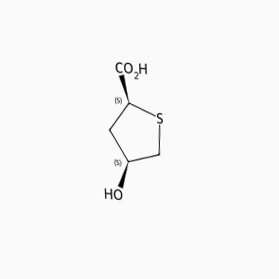 O=C(O)[C@@H]1C[C@H](O)CS1